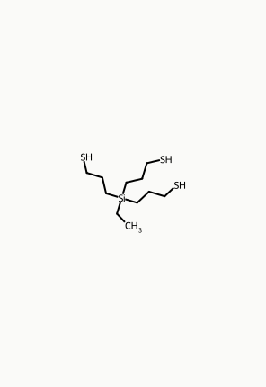 CC[Si](CCCS)(CCCS)CCCS